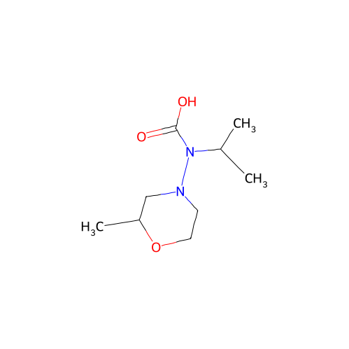 CC1CN(N(C(=O)O)C(C)C)CCO1